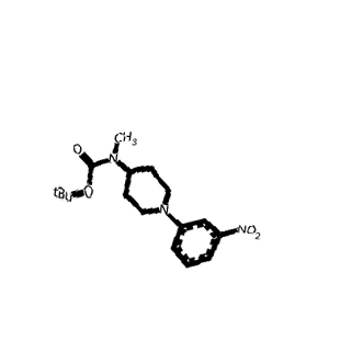 CN(C(=O)OC(C)(C)C)C1CCN(c2cccc([N+](=O)[O-])c2)CC1